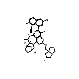 C#Cc1c(F)ccc2cc(O)cc(-c3nc4c5c(nc(OC[C@@]67CCCN6C[C@H](F)C7)nc5c3F)N3C[C@H]5CC[C@H](N5)[C@@H]3[C@@H](C)[C@@H]4C)c12